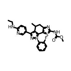 CCNc1ccc(-c2nn(-c3ccccc3F)c3c2C(C)Cc2nc(NC(=O)OC)sc2-3)cn1